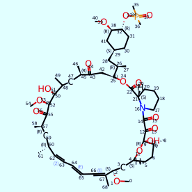 CO[C@H]1C[C@@H]2CC[C@@H](C)[C@@](O)(O2)C(=O)C(=O)N2CCCC[C@H]2C(=O)O[C@H]([C@H](C)C[C@@H]2CC[C@@H](OP(C)(C)=O)[C@H](OC)C2)CC(=O)[C@H](C)CC(C)[C@H](O)[C@H](OC)C(=O)[C@H](C)C[C@@H](C)\C=C/C=C/C=C/1C